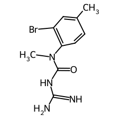 Cc1ccc(N(C)C(=O)NC(=N)N)c(Br)c1